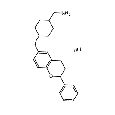 Cl.NCC1CCC(Oc2ccc3c(c2)CCC(c2ccccc2)O3)CC1